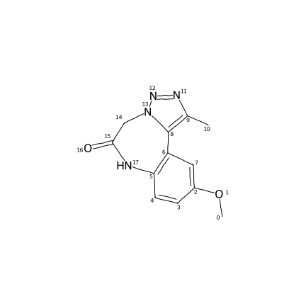 COc1ccc2c(c1)-c1c(C)nnn1CC(=O)N2